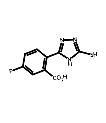 O=C(O)c1cc(F)ccc1-c1nnc(S)[nH]1